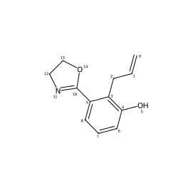 C=CCc1c(O)cccc1C1=NCCO1